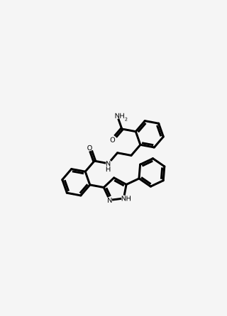 NC(=O)c1ccccc1CCNC(=O)c1ccccc1-c1cc(-c2ccccc2)[nH]n1